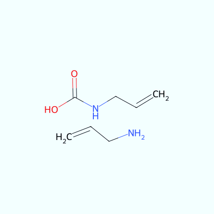 C=CCN.C=CCNC(=O)O